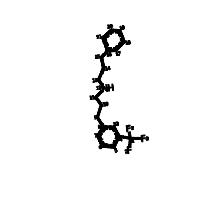 FC(F)(F)c1cccc(CCCNCCCc2ccccc2)c1